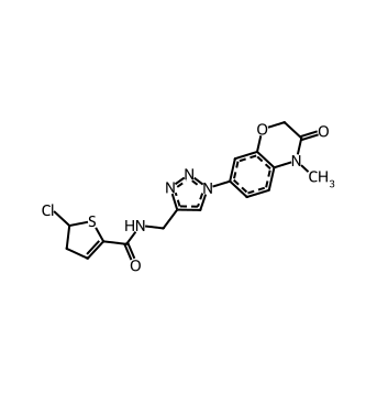 CN1C(=O)COc2cc(-n3cc(CNC(=O)C4=CCC(Cl)S4)nn3)ccc21